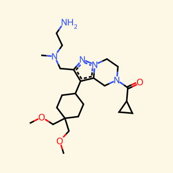 COCC1(COC)CCC(c2c(CN(C)CCN)nn3c2CN(C(=O)C2CC2)CC3)CC1